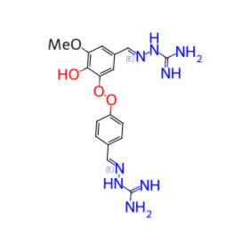 COc1cc(/C=N/NC(=N)N)cc(OOc2ccc(/C=N/NC(=N)N)cc2)c1O